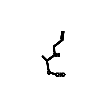 C=CCNC(C)O[C]=O